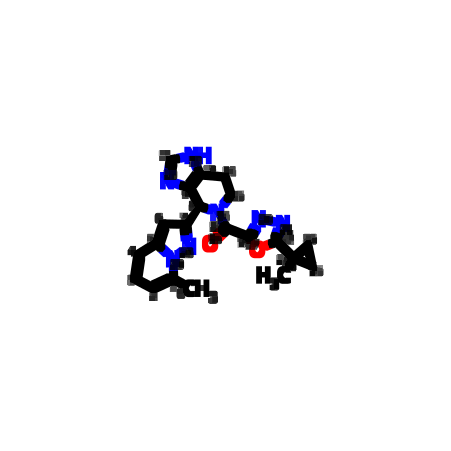 Cc1cccc2cc([C@H]3c4nc[nH]c4CCN3C(=O)c3nnc(C4(C)CC4)o3)nn12